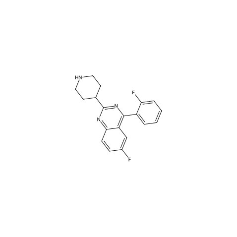 Fc1ccc2nc(C3CCNCC3)nc(-c3ccccc3F)c2c1